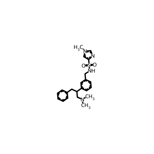 CN(C)CC(Cc1ccccc1)c1cccc(CNS(=O)(=O)c2cn(C)cn2)c1